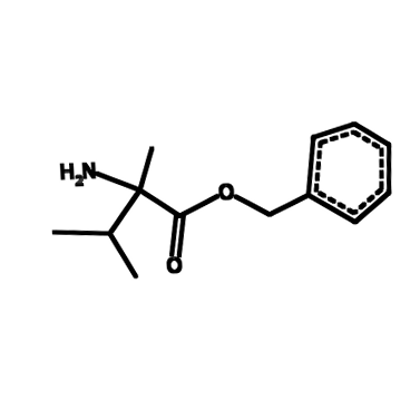 CC(C)C(C)(N)C(=O)OCc1ccccc1